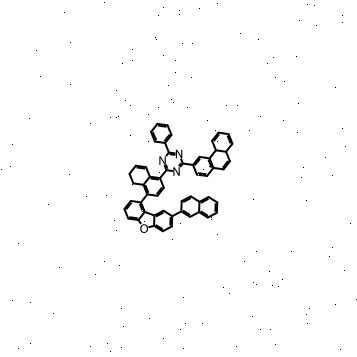 C1=CC2C=Cc3ccc(-c4nc(-c5ccccc5)nc(-c5ccc(-c6cccc7oc8ccc(-c9ccc%10ccccc%10c9)cc8c67)c6c5C=CCC6)n4)cc3C2C=C1